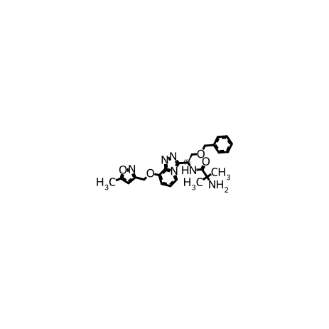 Cc1cc(COc2cccn3c([C@@H](COCc4ccccc4)NC(=O)C(C)(C)N)nnc23)no1